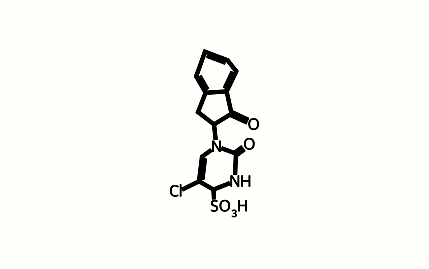 O=C1c2ccccc2CC1N1C=C(Cl)C(S(=O)(=O)O)NC1=O